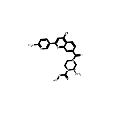 CCCOC(=O)N1CCN(C(=O)c2ccc3c(Cl)cc(-c4ccc(C)nc4)nc3c2)C[C@H]1N